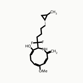 C=C1/C=C\C(OC)=C/C/C=C(/O)C(C(F)(F)CCCC[C@@H]2CC2C)N1